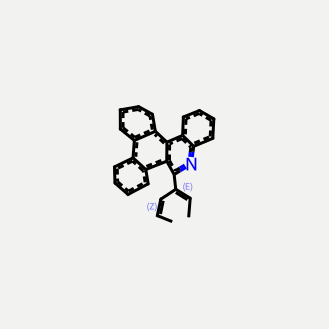 C/C=C\C(=C/C)c1nc2ccccc2c2c3ccccc3c3ccccc3c12